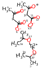 CC(=O)CC(=O)[O-].CC(=O)CC(=O)[O-].CC(C)[O][Ti+2][O]C(C)C